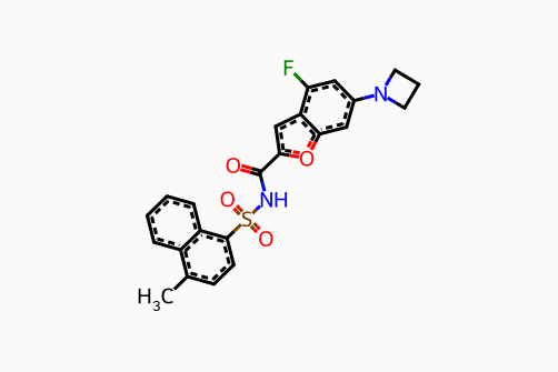 Cc1ccc(S(=O)(=O)NC(=O)c2cc3c(F)cc(N4CCC4)cc3o2)c2ccccc12